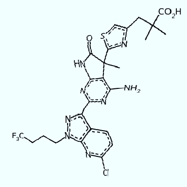 CC(C)(Cc1csc(C2(C)C(=O)Nc3nc(-c4nn(CCCC(F)(F)F)c5nc(Cl)ccc45)nc(N)c32)n1)C(=O)O